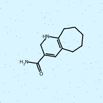 NC(=O)C1=CC2=C(CCCCC2)NC1